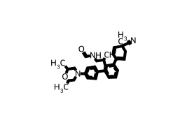 CC1CN(c2ccc(-c3cccc(C4=CCC(C)(C#N)C=C4)c3C(C)CNC=O)cc2)CC(C)O1